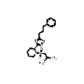 CC(C)CS(=O)(=O)N1CCCC[C@H]1c1nc(CCCc2ccccc2)no1